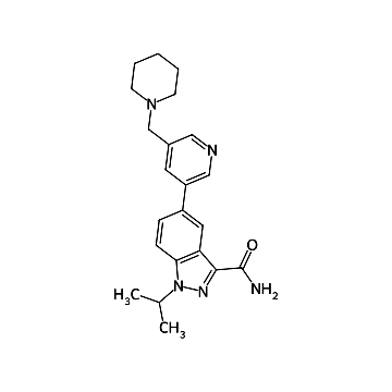 CC(C)n1nc(C(N)=O)c2cc(-c3cncc(CN4CCCCC4)c3)ccc21